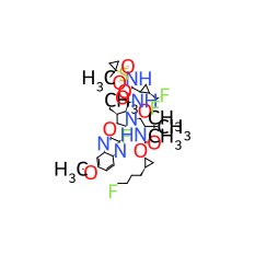 CC[C@@H]1[C@@H](OC2=NC3C=C(OC)C=CC3N=C2F)CN(C(=O)[C@@H](NC(=O)O[C@@H]2C[C@H]2CCCCF)C(C)(C)C)[C@@H]1C(=O)N[C@]1(C(=O)NS(=O)(=O)C2(C)CC2)C[C@H]1C(F)F